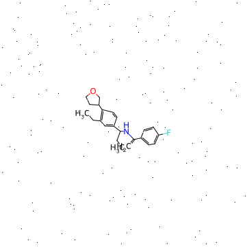 C=C(NC(CC)c1ccc(C2CCOC2)c(CC)c1)c1ccc(F)cc1